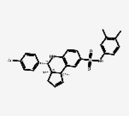 CC(=O)c1ccc([C@@H]2Nc3ccc(S(=O)(=O)Nc4ccc(C)c(C)c4)cc3[C@H]3C=CC[C@H]32)cc1